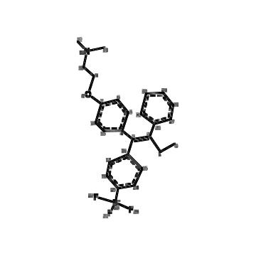 CCC(=C(c1ccc(OCCN(C)C)cc1)c1ccc([B-](F)(F)F)cc1)c1ccccc1